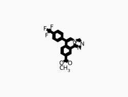 COC(=O)c1ccc2c(-c3ccc(C(F)(F)F)cc3)cn3cnnc3c2c1